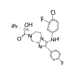 CC(C)[C@H](O)C(=O)N1CCn2c(nc(-c3ccc(F)cc3)c2Nc2ccc(Cl)c(F)c2)C1